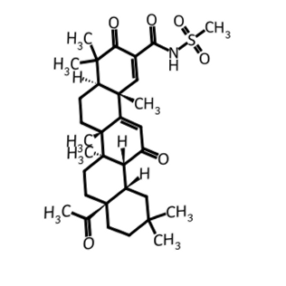 CC(=O)[C@]12CCC(C)(C)C[C@H]1[C@H]1C(=O)C=C3[C@@]4(C)C=C(C(=O)NS(C)(=O)=O)C(=O)C(C)(C)[C@@H]4CC[C@@]3(C)[C@]1(C)CC2